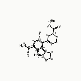 CC(C)(C)OC(=O)N1CCC=C(c2c(F)cc(C(N)=O)c3[nH]c4c(c23)CCC4)C1